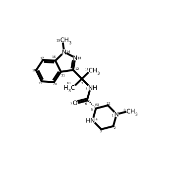 CN1CCN[C@H](C(=O)NC(C)(C)c2nn(C)c3ccccc23)C1